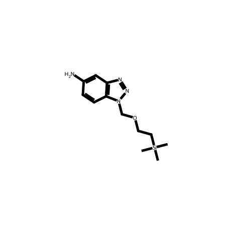 C[Si](C)(C)CCOCn1nnc2cc(N)ccc21